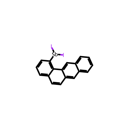 [I][Sb]([I])[c]1cccc2ccc3cc4ccccc4cc3c12